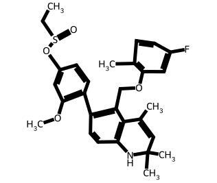 CCS(=O)Oc1ccc(-c2ccc3c(c2COc2cc(F)ccc2C)C(C)=CC(C)(C)N3)c(OC)c1